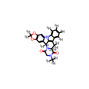 [2H]c1c([2H])c([2H])c2c3c([nH]c2c1[2H])[C@@]([2H])(c1ccc2c(c1)OC([2H])([2H])O2)N1C(=O)CN(C([2H])([2H])[2H])C(=O)[C@@]1([2H])C3([2H])[2H]